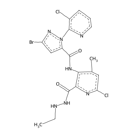 CCNNC(=O)c1nc(Cl)cc(C)c1NC(=O)c1cc(Br)nn1-c1ncccc1Cl